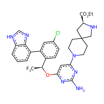 CCOC(=O)[C@@H]1CC2(CCN(c3cc(O[C@H](c4ccc(Cl)cc4-c4cccc5[nH]cnc45)C(F)(F)F)nc(N)n3)CC2)CN1